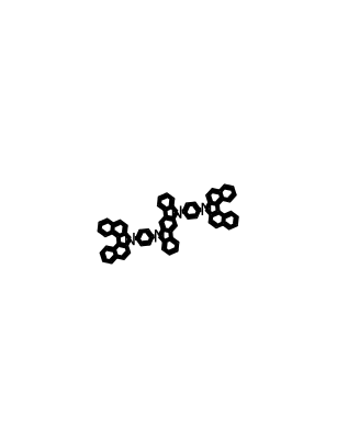 c1ccc2c(c1)ccc1c2c2c3ccccc3ccc2n1-c1ccc(-n2c3ccccc3c3cc4c(cc32)c2ccccc2n4-c2ccc(-n3c4ccc5ccccc5c4c4c5ccccc5ccc43)cc2)cc1